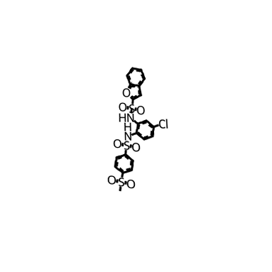 CS(=O)(=O)c1ccc(S(=O)(=O)Nc2ccc(Cl)cc2NS(=O)(=O)c2cc3ccccc3o2)cc1